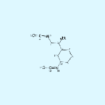 CCC(CN=C=O)C1CCCC(N=C=O)C1